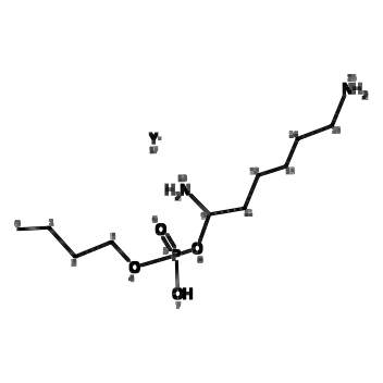 CCCCOP(=O)(O)OC(N)CCCCCN.[Y]